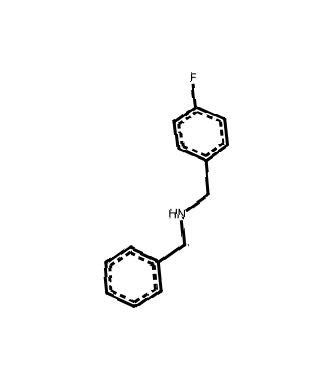 Fc1ccc(CN[CH]c2ccccc2)cc1